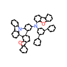 c1ccc(-c2cc(-c3ccccc3)cc(N(c3ccc4c(c3)-c3ccc5c(oc6ccccc65)c3-c3cccc5c6ccccc6n-4c35)c3cccc4c3oc3ccccc34)c2)cc1